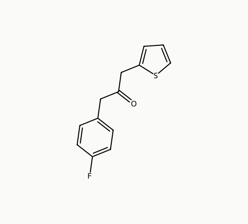 O=C(Cc1ccc(F)cc1)Cc1cccs1